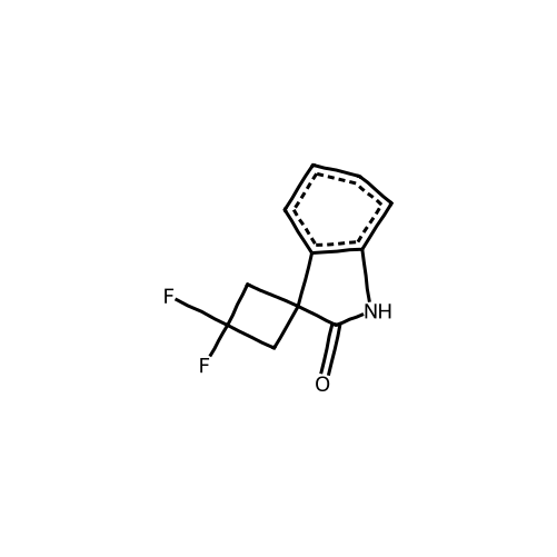 O=C1Nc2ccccc2C12CC(F)(F)C2